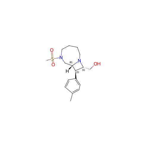 Cc1ccc([C@@H]2[C@@H](CO)N3CCCCN(S(C)(=O)=O)C[C@@H]23)cc1